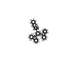 c1ccc2cn3nc(-c4cc(-n5c6ccccc6c6ccccc65)cc(-n5c6ccccc6c6ccccc65)c4)cc3cc2c1